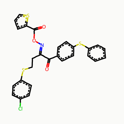 O=C(/C(CCSc1ccc(Cl)cc1)=N/OC(=O)c1cccs1)c1ccc(Sc2ccccc2)cc1